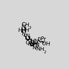 CCC[C@@H](CCO)Nc1nc(N)nc2cnn(Cc3cnc(CN4C[C@H]5CN(C)C[C@H]5C4)cc3OC)c12